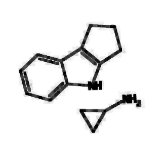 NC1CC1.c1ccc2c3c([nH]c2c1)CCC3